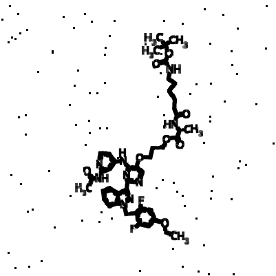 CCOc1cc(F)c(Cn2nc(-c3ncc(OCCCOC(=O)[C@H](C)NC(=O)CCCCCNC(=O)OC(C)(C)C)c(Nc4ccnc(NC(C)=O)c4)n3)c3ccccc32)c(F)c1